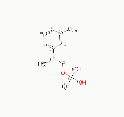 CB(COC(C)(O)O)c1cccc(C)c1